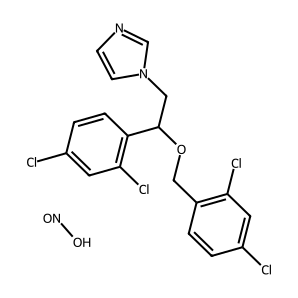 Clc1ccc(COC(Cn2ccnc2)c2ccc(Cl)cc2Cl)c(Cl)c1.O=NO